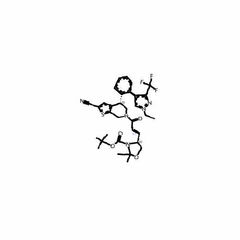 CCn1cc(-c2ccccc2[C@@H]2CN(C(=O)/C=C/[C@H]3COC(C)(C)N3C(=O)OC(C)(C)C)Cc3sc(C#N)cc32)c(C(F)(F)F)n1